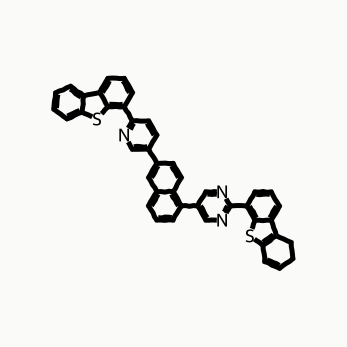 C1=Cc2sc3c(-c4ncc(-c5cccc6cc(-c7ccc(-c8cccc9c8sc8ccccc89)nc7)ccc56)cn4)cccc3c2CC1